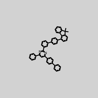 CC1(C)c2ccccc2-c2c(-c3ccc(-c4cccc(-c5nc(-c6ccccc6)cc(-c6ccc(-c7ccccc7)cc6)n5)c4)cc3)cccc21